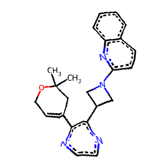 CC1(C)CC(c2nccnc2C2CN(c3ccc4ccccc4n3)C2)=CCO1